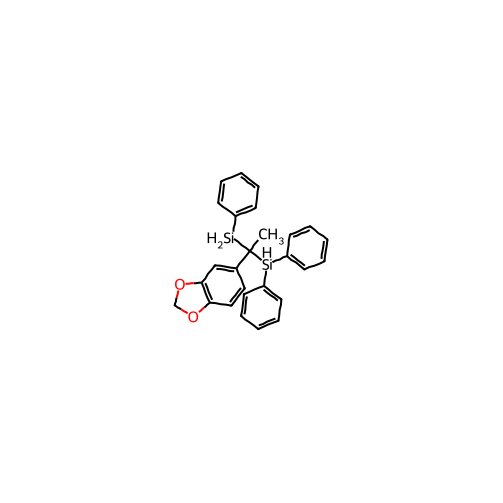 CC([SiH2]c1ccccc1)(c1ccc2c(c1)OCO2)[SiH](c1ccccc1)c1ccccc1